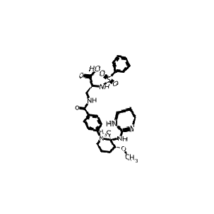 CO[C@@H]1CCCN(c2ccc(C(=O)NC[C@H](NS(=O)(=O)c3ccccc3)C(=O)O)cc2)[C@@]1(C)NC1=NCCCN1